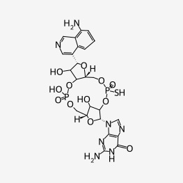 Nc1nc2c(ncn2[C@@H]2O[C@@H]3COP(=O)(O)OC4C(O)[C@H](c5cncc6c(N)cccc56)O[C@@H]4COP(=O)(S)OC2C3O)c(=O)[nH]1